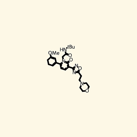 COC1=CC(c2ccc(-c3noc(CCN4CCOCC4)n3)c(=O)n2CC(=O)NC(C)(C)C)=CCC1